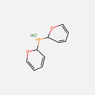 C1=COC(PC2C=CC=CO2)C=C1.Cl